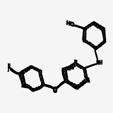 Oc1cccc(Nc2ncc(Oc3ccc(F)cc3)cn2)c1